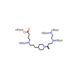 C=C(CCN(CCCCCCCCC)CCN(CCCCCCCCC)CCCCCCCCC)N1CCC(CCCN(CCCCCCCCC)CCCC(=O)OCCCCC)CC1